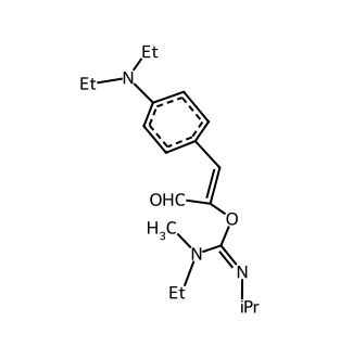 CCN(C)/C(=N\C(C)C)O/C(C=O)=C/c1ccc(N(CC)CC)cc1